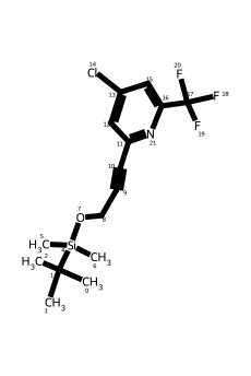 CC(C)(C)[Si](C)(C)OCC#Cc1cc(Cl)cc(C(F)(F)F)n1